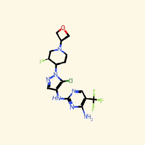 Nc1nc(Nc2cnn(C3CCN(C4COC4)C[C@@H]3F)c2Cl)ncc1C(F)(F)F